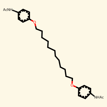 CC(=O)Nc1ccc(OCCCCCCCCCCCCOc2ccc(NC(C)=O)cc2)cc1